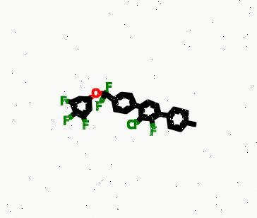 Cc1ccc(-c2ccc(-c3ccc(C(F)(F)Oc4cc(F)c(F)c(F)c4)cc3)c(Cl)c2F)cc1